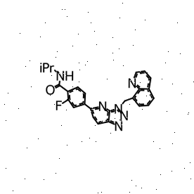 CC(C)NC(=O)c1ccc(-c2ccc3nnn(Cc4cccc5cccnc45)c3n2)cc1F